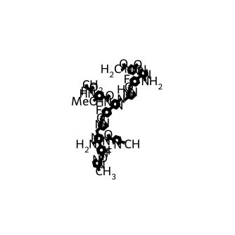 C#Cc1ccc(C(=O)Nc2cc(Cc3ccnc(Oc4ccc(-c5cnc(NCc6ccnc(Oc7ccc(-c8c(N)ncnc8N8CCN(C(=O)C=C)CC8=O)cc7F)n6)cc5NC(=O)c5ccc(NC(=O)C(=C)F)c(OC)c5)cc4F)n3)nc(N)c2-c2ccc(Oc3nccc(C)n3)c(F)c2)cn1